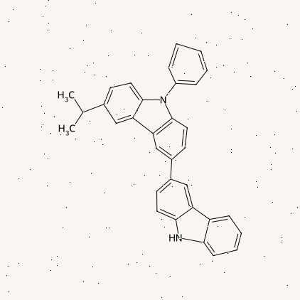 CC(C)c1ccc2c(c1)c1cc(-c3ccc4[nH]c5ccccc5c4c3)ccc1n2-c1ccccc1